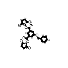 O=C(ON1C(=O)CCC1=O)c1cc(OCc2ccccc2)cc(C(=O)ON2C(=O)CCC2=O)c1